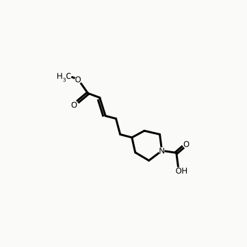 COC(=O)C=CCCC1CCN(C(=O)O)CC1